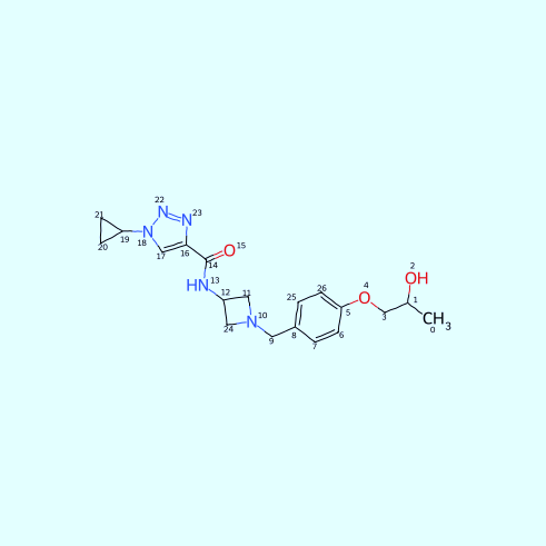 CC(O)COc1ccc(CN2CC(NC(=O)c3cn(C4CC4)nn3)C2)cc1